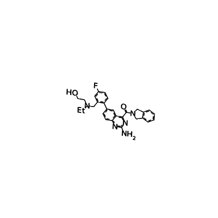 CCN(CCO)Cc1cc(F)ccc1-c1ccc2nc(N)nc(C(=O)N3Cc4ccccc4C3)c2c1